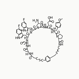 COc1ccc(C[C@H]2NC(=O)[C@H](CCC(=O)O)N[C@@]3(C=O)C[C@H](N)CN3C(=O)C(Cc3c[nH]c4ccc(F)cc34)NC(=O)[C@H](Cc3c[nH]c4ccc(F)cc34)N[C@@](C)(C=O)NC(=O)[C@H](C)NC(=O)CCSCc3ccc(cc3)CSCCNC(=O)[C@]3(C)CCCN3C2=O)cc1